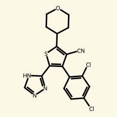 N#Cc1c(C2CCOCC2)sc(-c2nnc[nH]2)c1-c1ccc(Cl)cc1Cl